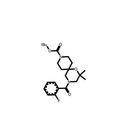 CC(C)(C)OC(=O)N1CCC2(CC1)CN(C(=O)c1ccccc1F)CC(C)(C)O2